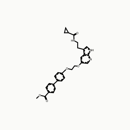 COC(=O)c1ccc(-c2ccc(OCCOc3cnc4[nH]cc(CCNC(=O)C5CC5)c4c3)cc2)cc1